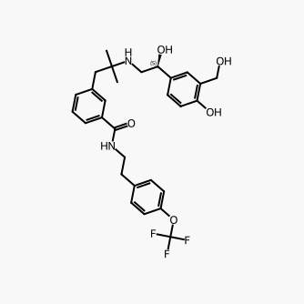 CC(C)(Cc1cccc(C(=O)NCCc2ccc(OC(F)(F)F)cc2)c1)NC[C@@H](O)c1ccc(O)c(CO)c1